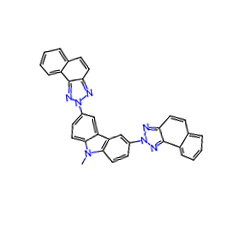 Cn1c2ccc(-n3nc4ccc5ccccc5c4n3)cc2c2cc(-n3nc4ccc5ccccc5c4n3)ccc21